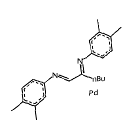 CCCCC(C=Nc1ccc(C)c(C)c1)=Nc1ccc(C)c(C)c1.[Pd]